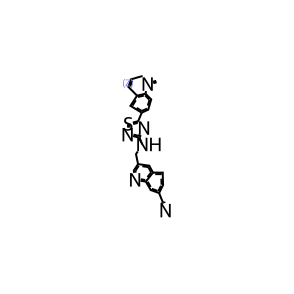 C=Nc1ccc(-c2nc(NCc3cnc4cc(C#N)ccc4c3)ns2)cc1/C=C\C